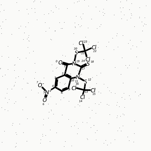 O=c1c2cc([N+](=O)[O-])ccc2n(SC(Cl)(Cl)Cl)c(=S)n1SC(Cl)(Cl)Cl